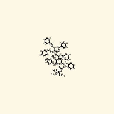 CC(C)(C)OC(=O)N[C@@H](Cc1ccccc1)C(=O)N[C@@H](Cc1c[nH]cn1)C(=O)N[C@@H](CC1CCCCC1)[C@@H](O)[C@H](OCc1ccccc1)[C@H](COCc1ccccc1)OCc1ccccc1